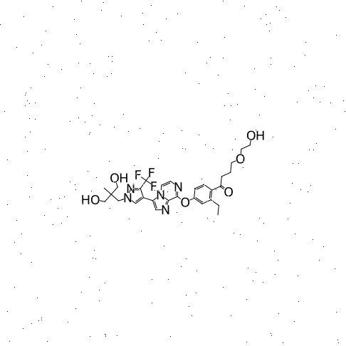 CCc1cc(Oc2nccn3c(-c4cn(CC(C)(CO)CO)nc4C(F)(F)F)cnc23)ccc1C(=O)CCCOCCO